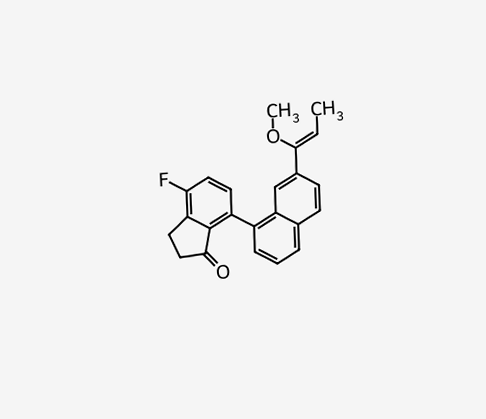 CC=C(OC)c1ccc2cccc(-c3ccc(F)c4c3C(=O)CC4)c2c1